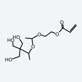 C=CC(=O)OCCOC(C)OC(C)C(CO)(CO)CO